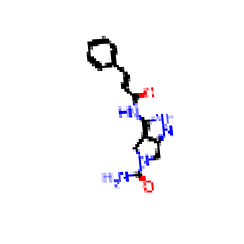 NC(=O)N1Cc2n[nH]c(NC(=O)C=Cc3ccccc3)c2C1